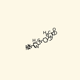 CC1=C(N2CC[C@]3(CC[C@@H](N(C)Cc4ccc(-n5cnnn5)cn4)CC3)C2=O)COC1=O